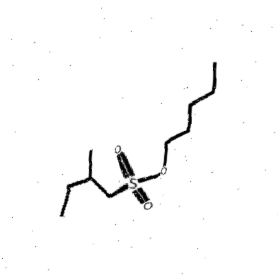 [CH2]CC(C)CS(=O)(=O)OCCCCC